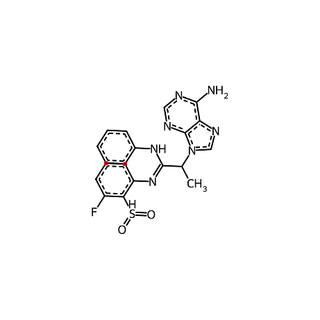 CC(/C(=N/c1cccc(F)c1[SH](=O)=O)Nc1ccccc1)n1cnc2c(N)ncnc21